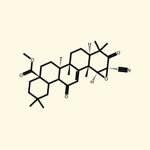 COC(=O)[C@]12CCC(C)(C)CC1C1C(=O)C=C3[C@]4(C)[C@@H](CC[C@@]3(C)[C@]1(C)CC2)C(C)(C)C(=O)[C@@]1(C#N)O[C@@H]41